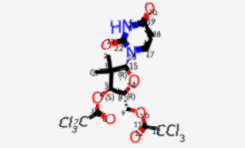 CC1(C)[C@H](OC(=O)C(Cl)(Cl)Cl)[C@@H](COC(=O)C(Cl)(Cl)Cl)O[C@H]1n1ccc(=O)[nH]c1=O